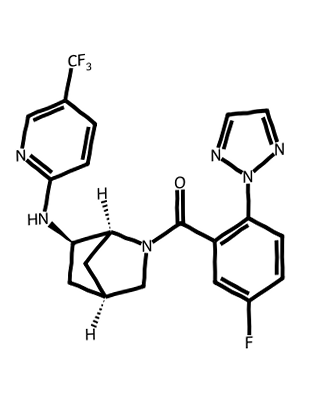 O=C(c1cc(F)ccc1-n1nccn1)N1C[C@H]2C[C@@H](Nc3ccc(C(F)(F)F)cn3)[C@@H]1C2